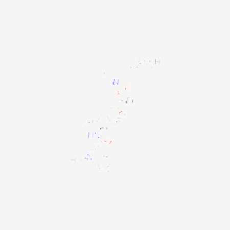 CCC(OC(O[C@H]1CC[C@H](C(=O)O)CC1)N1CCCC1)C(=O)Cc1cc(Cl)c(NC(=O)c2cn(C)c3ccccc23)cc1F